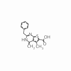 C=C1NC(Cc2ccccc2)=Nc2sc(C(=O)O)c(C)c21